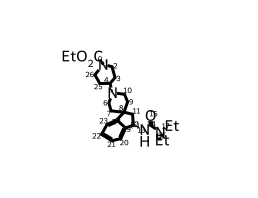 CCOC(=O)N1CCC(N2CCC3(CC2)C[C@H](NC(=O)N(CC)CC)c2ccccc23)CC1